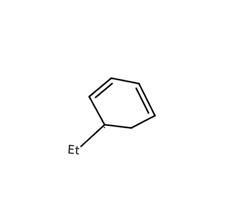 CC[C]1C=CC=CC1